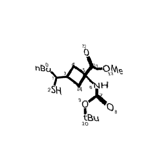 CCCCC(S)C1CC(NC(=O)OC(C)(C)C)(C(=O)OC)C1